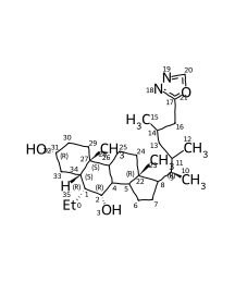 CC[C@H]1[C@@H](O)C2C3CCC([C@H](C)C(C)CC(C)Cc4nnco4)[C@@]3(C)CCC2[C@@]2(C)CC[C@@H](O)C[C@@H]12